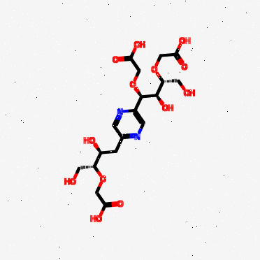 O=C(O)CO[C@H](c1cnc(C[C@H](O)[C@@H](CO)OCC(=O)O)cn1)[C@H](O)[C@@H](CO)OCC(=O)O